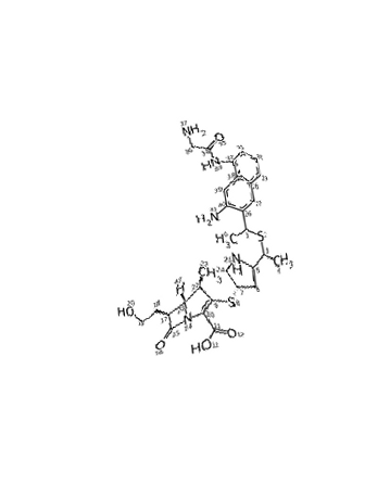 CC(SC(C)C1C[C@H](SC2=C(C(=O)O)N3C(=O)[C@@H](CCO)[C@@H]3[C@H]2C)CN1)c1cc2cccc(NC(=O)CN)c2cc1N